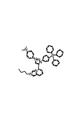 CCCCn1cc2cccc(-c3cn(-c4ccc(N(C)C)cc4)nn3)[n+]2c1.c1ccc([B-](c2ccccc2)(c2ccccc2)c2ccccc2)cc1